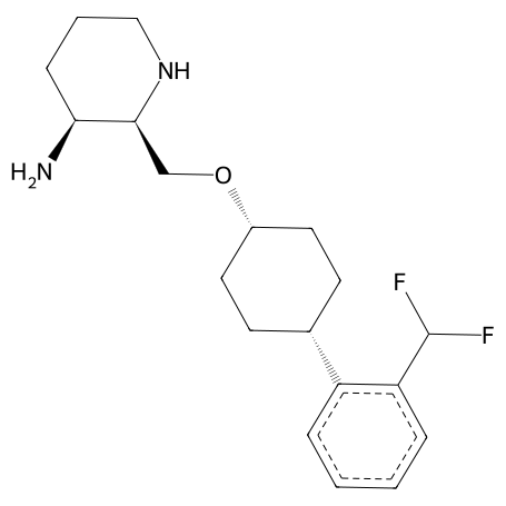 N[C@H]1CCCN[C@H]1CO[C@H]1CC[C@@H](c2ccccc2C(F)F)CC1